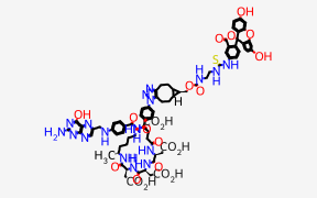 C[C@H](CCCCNC(=O)c1ccc(-n2nnc3c2CC[C@H]2C(CC3)[C@H]2COC(=O)NCCNC(=S)Nc2ccc3c(c2)C(=O)OC32c3ccc(O)cc3Oc3cc(O)ccc32)cc1)NC(=O)[C@H](CC(=O)O)NC(=O)[C@H](CC(=O)O)NC(=O)[C@H](CC(=O)O)NC(=O)CC[C@H](NC(=O)c1ccc(NCc2cnc3nc(N)nc(O)c3n2)cc1)C(=O)O